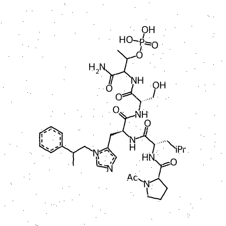 CC(=O)N1CCCC1C(=O)N[C@@H](CC(C)C)C(=O)N[C@@H](Cc1cncn1CC(C)c1ccccc1)C(=O)N[C@@H](CO)C(=O)NC(C(N)=O)C(C)OP(=O)(O)O